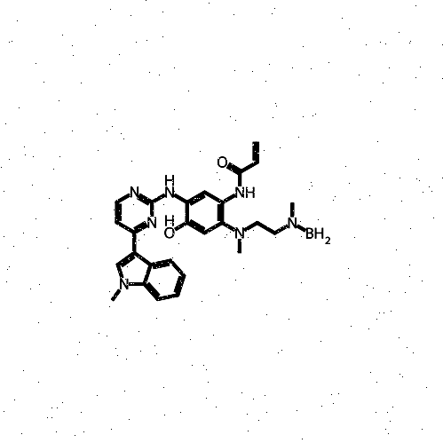 BN(C)CCN(C)c1cc(O)c(Nc2nccc(-c3cn(C)c4ccccc34)n2)cc1NC(=O)C=C